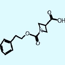 O=C(O)C1CN(C(=O)OCCc2ccccc2)C1